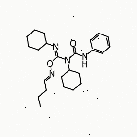 CCCC=NOC(=NC1CCCCC1)N(C(=O)Nc1ccccc1)C1CCCCC1